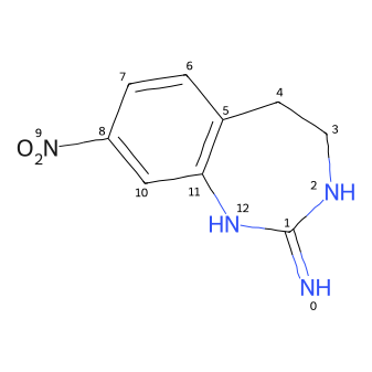 N=C1NCCc2ccc([N+](=O)[O-])cc2N1